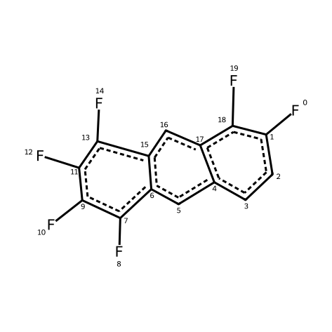 Fc1ccc2cc3c(F)c(F)c(F)c(F)c3cc2c1F